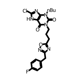 CCCCn1c(=O)n(CCCc2nc(Cc3ccc(F)cc3)no2)c(=O)c2[nH]c(Cl)nc21